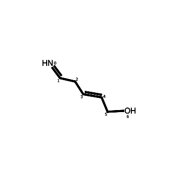 N=CCC=CCO